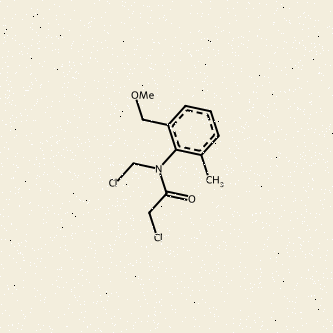 COCc1cccc(C)c1N(CCl)C(=O)CCl